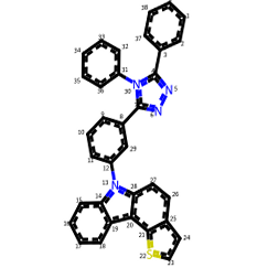 c1ccc(-c2nnc(-c3cccc(-n4c5ccccc5c5c6sccc6ccc54)c3)n2-c2ccccc2)cc1